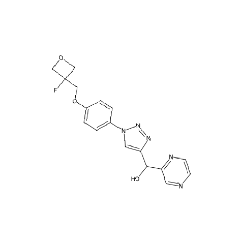 OC(c1cnccn1)c1cn(-c2ccc(OCC3(F)COC3)cc2)nn1